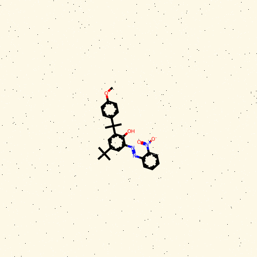 COc1ccc(C(C)(C)c2cc(C(C)(C)C)cc(N=Nc3ccccc3[N+](=O)[O-])c2O)cc1